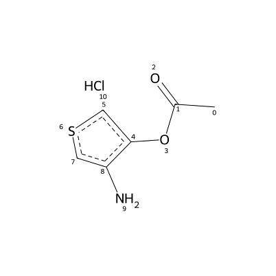 CC(=O)Oc1cscc1N.Cl